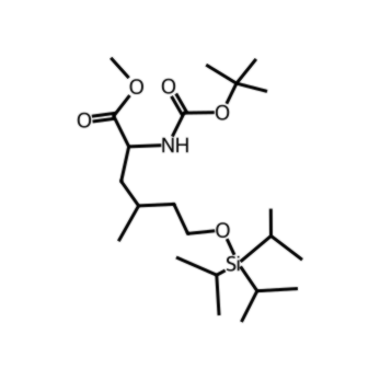 COC(=O)C(CC(C)CCO[Si](C(C)C)(C(C)C)C(C)C)NC(=O)OC(C)(C)C